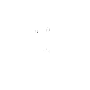 CN1CC[N]c2ccc(-c3ccccn3)cc2C1